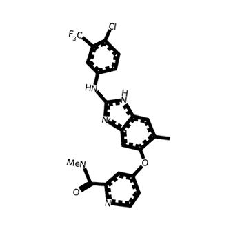 CNC(=O)c1cc(Oc2cc3nc(Nc4ccc(Cl)c(C(F)(F)F)c4)[nH]c3cc2C)ccn1